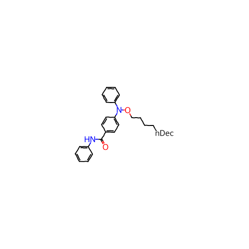 CCCCCCCCCCCCCCON(c1ccccc1)c1ccc(C(=O)Nc2ccccc2)cc1